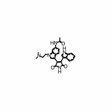 CC(=O)Nc1ccc2c(C3=C(c4c[nH]c5ccccc45)C(=O)NC3=O)cn(CCN(C)C)c2c1